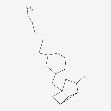 CC1CC2(CC3CCCC(CCCCCN)C3)CC3C1C32